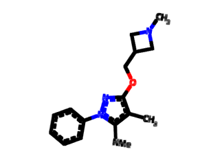 CNc1c(C)c(OCC2CN(C)C2)nn1-c1ccccc1